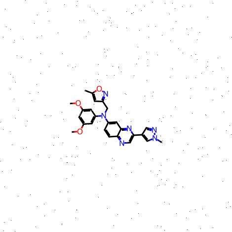 COc1cc(OC)cc(N(Cc2cc(C)on2)c2ccc3ncc(-c4cnn(C)c4)nc3c2)c1